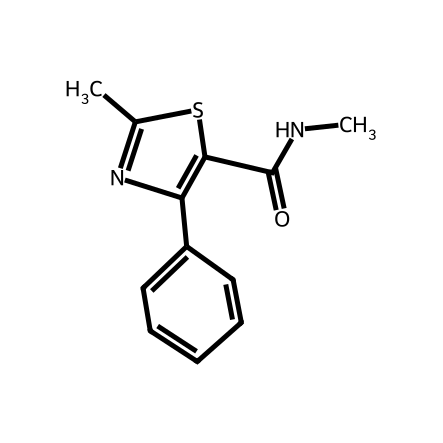 CNC(=O)c1sc(C)nc1-c1ccccc1